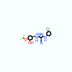 N#Cc1c(Nc2cccc(Cl)c2)n[nH]c1NCc1ccc(OC(F)F)c(O)c1